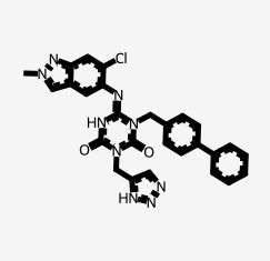 Cn1cc2cc(N=c3[nH]c(=O)n(Cc4cnn[nH]4)c(=O)n3Cc3ccc(-c4ccccc4)cc3)c(Cl)cc2n1